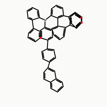 c1ccc(-c2ccccc2-c2c(-c3ccccc3)cccc2N(c2ccc(-c3ccc(-c4ccc5ccccc5c4)cc3)cc2)c2ccccc2-c2ccccc2)cc1